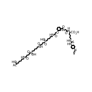 CC(=O)N(O)CCCCCNC(=O)CCC(=O)N(O)CCCCCNC(=O)CCC(=O)N(O)CCCCCNC(=O)COc1cccc(C(=O)NCC(=O)N[C@@H](CCCCNC(=S)Nc2ccc(N=C=S)cc2)C(=O)O)c1